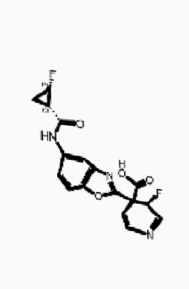 O=C(Nc1ccc2oc(C3(C(=O)O)C=CN=CC3F)nc2c1)[C@@H]1C[C@@H]1F